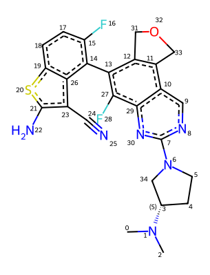 CN(C)[C@H]1CCN(c2ncc3c4c(c(-c5c(F)ccc6sc(N)c(C#N)c56)c(F)c3n2)COC4)C1